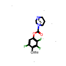 COc1c(F)cc(OC(=O)N2CCN3CCC2CC3)c(F)c1F